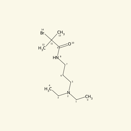 CCN(CC)CCCNC(=O)C(C)(C)Br